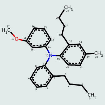 CCCCc1ccccc1N(c1cccc(OC)c1)c1ccc(C)cc1CCCC